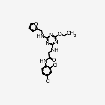 CCOc1nc(NCC(=O)Nc2ccc(Cl)cc2Cl)nc(NCc2ccco2)n1